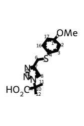 COc1ccc(SCc2cn(C(C)(C)C(=O)O)nn2)cc1